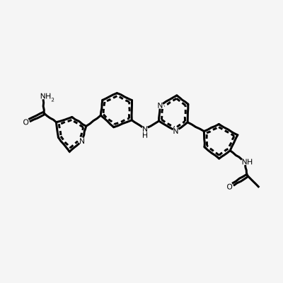 CC(=O)Nc1ccc(-c2ccnc(Nc3cccc(-c4cc(C(N)=O)ccn4)c3)n2)cc1